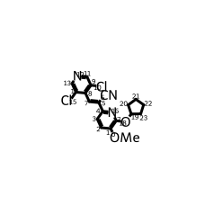 COc1ccc(/C(C#N)=C/c2c(Cl)cncc2Cl)nc1OC1CCCC1